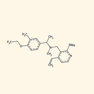 C=Cc1ccnc(NC)c1CN(C)C(C)c1ccc(OCC(F)(F)F)c(C)c1